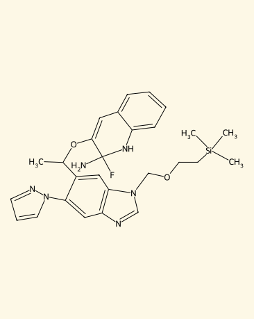 CC(OC1=Cc2ccccc2NC1(N)F)c1cc2c(cc1-n1cccn1)ncn2COCC[Si](C)(C)C